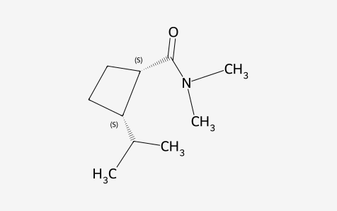 CC(C)[C@@H]1CC[C@@H]1C(=O)N(C)C